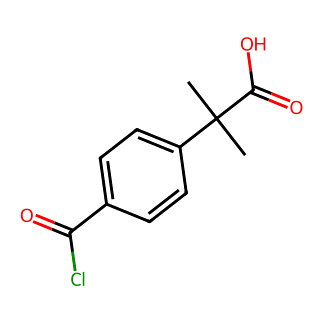 CC(C)(C(=O)O)c1ccc(C(=O)Cl)cc1